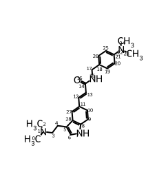 CN(C)CCc1c[nH]c2ccc(/C=C/C(=O)NCc3ccc(N(C)C)cc3)cc12